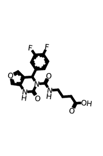 O=C(O)CCCNC(=O)N1C(=O)Nc2cocc2C1c1ccc(F)c(F)c1